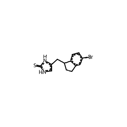 S=c1[nH]cc(CC2CCc3cc(Br)ccc32)[nH]1